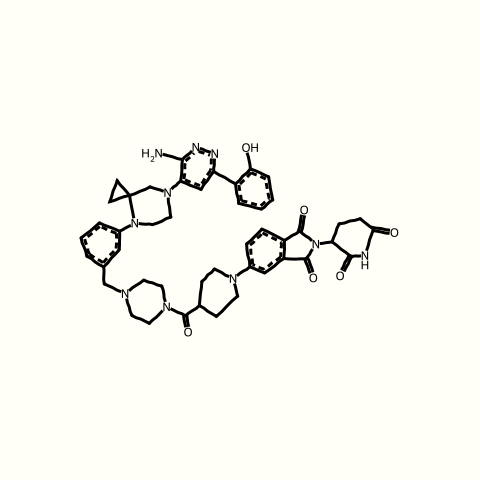 Nc1nnc(-c2ccccc2O)cc1N1CCN(c2cccc(CN3CCN(C(=O)C4CCN(c5ccc6c(c5)C(=O)N(C5CCC(=O)NC5=O)C6=O)CC4)CC3)c2)C2(CC2)C1